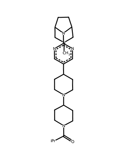 CC(C)C(=O)N1CCC(N2CCC(c3cnc(N4C5CCC4CN(C)C5)nc3)CC2)CC1